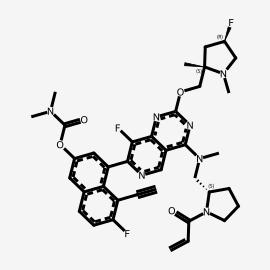 C#Cc1c(F)ccc2cc(OC(=O)N(C)C)cc(-c3ncc4c(N(C)C[C@@H]5CCCN5C(=O)C=C)nc(OC[C@]5(C)C[C@@H](F)CN5C)nc4c3F)c12